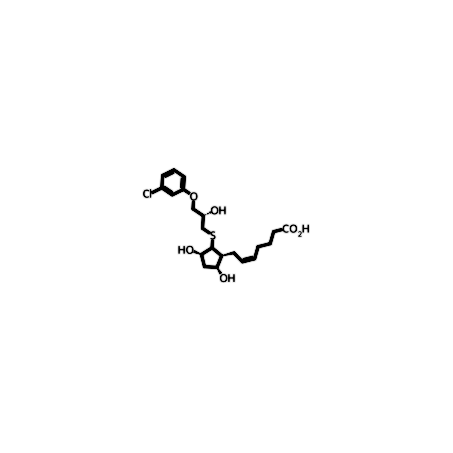 O=C(O)CCC/C=C\C[C@@H]1C(SC[C@@H](O)COc2cccc(Cl)c2)[C@H](O)C[C@@H]1O